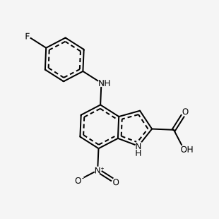 O=C(O)c1cc2c(Nc3ccc(F)cc3)ccc([N+](=O)[O-])c2[nH]1